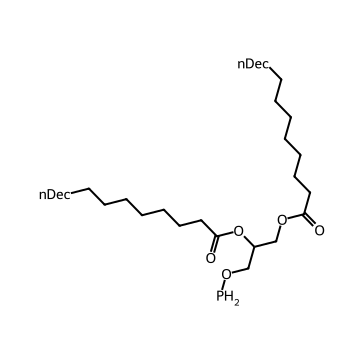 CCCCCCCCCCCCCCCCCC(=O)OCC(COP)OC(=O)CCCCCCCCCCCCCCCCC